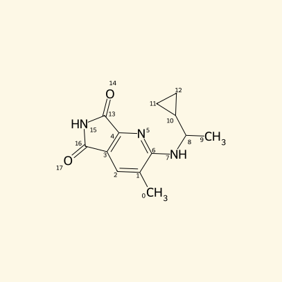 Cc1cc2c(nc1NC(C)C1CC1)C(=O)NC2=O